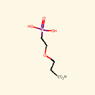 O=C(O)CCOCCP(=O)(O)O